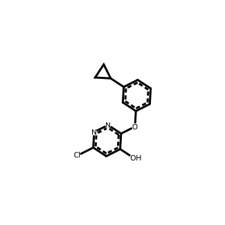 Oc1cc(Cl)nnc1Oc1cccc(C2CC2)c1